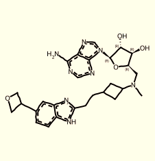 CN(C[C@H]1O[C@@H](n2cnc3c(N)ncnc32)[C@H](O)[C@H]1O)C1CC(CCc2nc3cc(C4COC4)ccc3[nH]2)C1